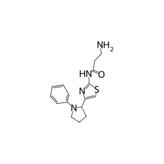 NCCC(=O)Nc1nc(C2CCCN2c2ccccc2)cs1